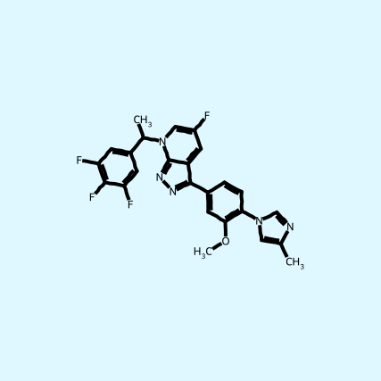 COc1cc(-c2nnc3n(C(C)c4cc(F)c(F)c(F)c4)cc(F)cc2-3)ccc1-n1cnc(C)c1